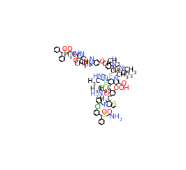 CCN(CC)CC(=O)Nc1c(C)cccc1C.CCn1cc(C(=O)O)c(=O)c2cc(F)c(N3CCNC(C)C3)c(F)c21.COc1ccc2[nH]c([S+]([O-])Cc3ncc(C)c(OC)c3C)nc2c1.Cc1cccc(C)c1OCC(C)N.Clc1ccccc1CN1CCc2sccc2C1.NC(=O)C[S+]([O-])C(c1ccccc1)c1ccccc1.NC(=O)C[S+]([O-])C(c1ccccc1)c1ccccc1